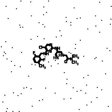 Cc1ccc(F)c(CNc2nc(N/C(C=N)=C/NCC(=O)N(C)C)ncc2Cl)c1F